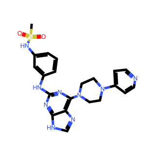 CS(=O)(=O)Nc1cccc(Nc2nc(N3CCN(c4ccncc4)CC3)c3nc[nH]c3n2)c1